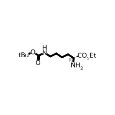 CCOC(=O)[C@H](N)CCCCNC(=O)OC(C)(C)C